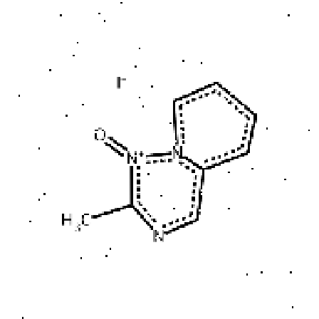 Cc1ncc2ccccn2[n+]1=O.[I-]